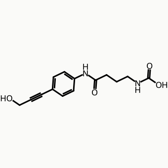 O=C(O)NCCCC(=O)Nc1ccc(C#CCO)cc1